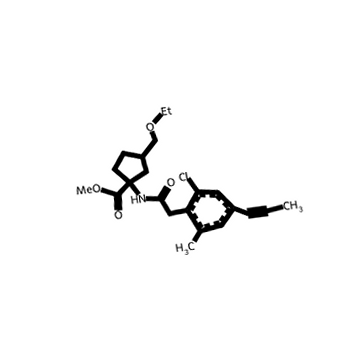 CC#Cc1cc(C)c(CC(=O)NC2(C(=O)OC)CCC(COCC)C2)c(Cl)c1